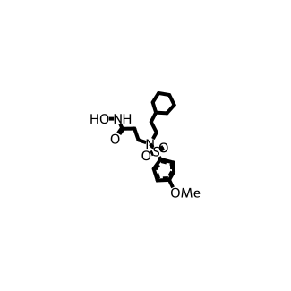 COc1ccc(S(=O)(=O)N(CCC(=O)NO)CCC2CCCCC2)cc1